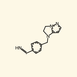 N=[C]c1ccc(CN2CCn3nccc32)cc1